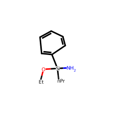 CCC[Si](N)(OCC)c1ccccc1